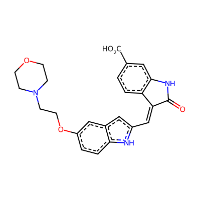 O=C1Nc2cc(C(=O)O)ccc2C1=Cc1cc2cc(OCCN3CCOCC3)ccc2[nH]1